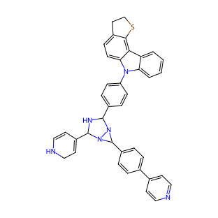 C1=CC(C2NC(c3ccc(-n4c5ccccc5c5c6c(ccc54)CCS6)cc3)N3C(c4ccc(-c5ccncc5)cc4)N23)=CCN1